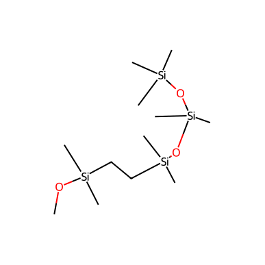 CO[Si](C)(C)CC[Si](C)(C)O[Si](C)(C)O[Si](C)(C)C